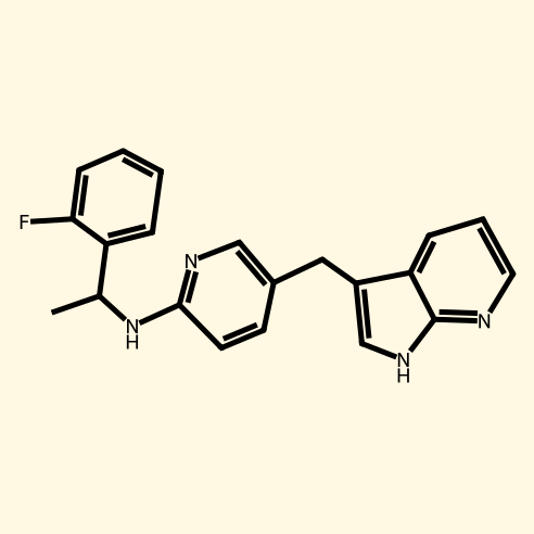 CC(Nc1ccc(Cc2c[nH]c3ncccc23)cn1)c1ccccc1F